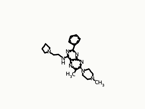 Cc1nc2c(NCCN3CCCC3)nc(-c3ccccc3)nc2nc1N1CCN(C)CC1